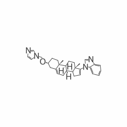 C[C@]12CC[C@H](OCn3ccnc3)CC1=CC[C@@H]1[C@@H]2CC[C@]2(C)C(n3cnc4ccccc43)=CC[C@@H]12